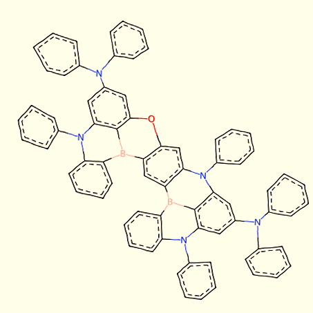 c1ccc(N(c2ccccc2)c2cc3c4c(c2)N(c2ccccc2)c2ccccc2B4c2cc4c(cc2O3)N(c2ccccc2)c2cc(N(c3ccccc3)c3ccccc3)cc3c2B4c2ccccc2N3c2ccccc2)cc1